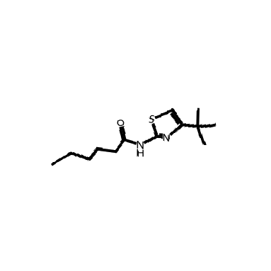 CCCCCC(=O)Nc1nc(C(C)(C)C)cs1